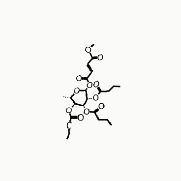 CCCC(=O)O[C@@H]1[C@@H](OC(=O)CCC)[C@H](C)O[C@@H](OC(=O)/C=C/C(=O)OC)[C@@H]1OC(=O)CCC